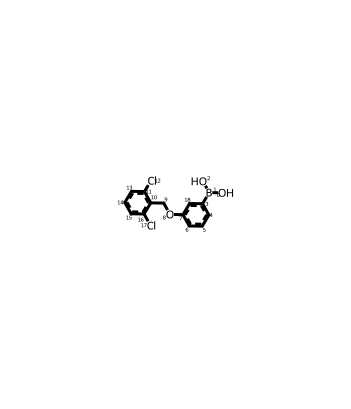 OB(O)c1cccc(OCc2c(Cl)cccc2Cl)c1